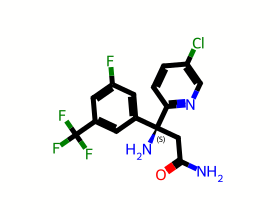 NC(=O)C[C@](N)(c1cc(F)cc(C(F)(F)F)c1)c1ccc(Cl)cn1